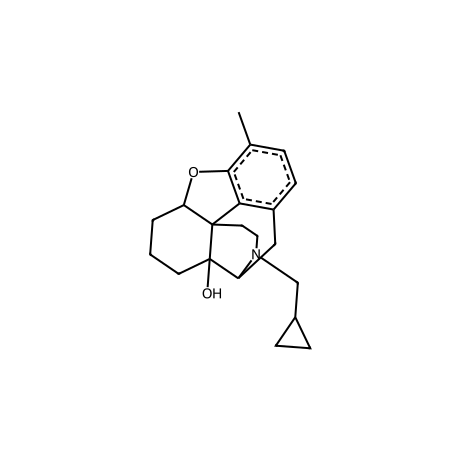 Cc1ccc2c3c1OC1CCCC4(O)C(C2)N(CC2CC2)CCC314